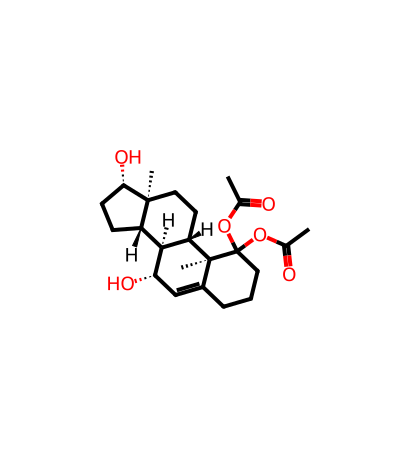 CC(=O)OC1(OC(C)=O)CCCC2=C[C@H](O)[C@H]3[C@@H]4CC[C@H](O)[C@@]4(C)CC[C@@H]3[C@]21C